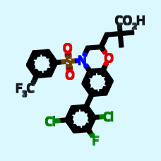 CC(C)(CC1CN(S(=O)(=O)c2cccc(C(F)(F)F)c2)c2cc(-c3cc(Cl)cc(F)c3Cl)ccc2O1)C(=O)O